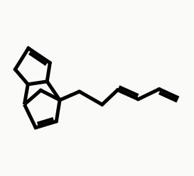 C=CC=CCCC12C=CC(C1)C1CC=CC12